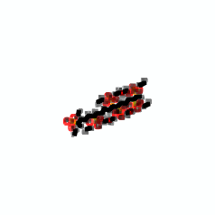 CCOP(=O)(OCC)C(C)CCCC(CCCCC(C(CCCC(C(C)P(=O)(OCC)OCC)P(=O)(OCC)OCC)P(=O)(OCC)OCC)P(=O)(OCC)OCC)P(=O)(OCC)OCC